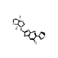 Clc1cc2[nH]c(O[C@@H]3CO[C@@H]4CCO[C@@H]43)nc2nc1-c1ccoc1